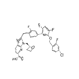 O=C(O)c1ccc2nc(Cc3ccc(-c4nc(OCc5ccc(Cl)cc5F)c(F)cc4F)cc3F)n(C[C@@H]3CCO3)c2n1